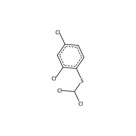 Clc1ccc(SC(Cl)Cl)c(Cl)c1